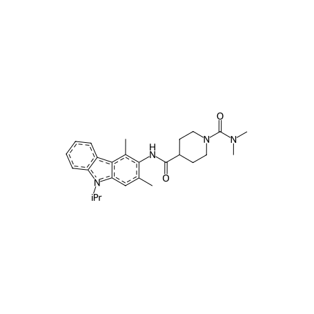 Cc1cc2c(c(C)c1NC(=O)C1CCN(C(=O)N(C)C)CC1)c1ccccc1n2C(C)C